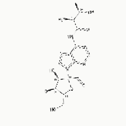 C[C@@H](O)[C@H](N)C(=O)Nc1ncnc2c1ncn2[C@]1(C=O)O[C@H](CO)[C@@H](O)[C@H]1O